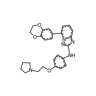 c1cc(-c2ccc3c(c2)OCCO3)n2nc(Nc3ccc(OCCN4CCCC4)cc3)nc2c1